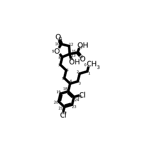 CCCCC(CCCC1OC(=O)CC1(O)C(=O)O)c1ccc(Cl)cc1Cl